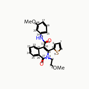 COCCn1c(-c2cccs2)c(C(=O)Nc2cccc(OC)c2)c2ccccc2c1=O